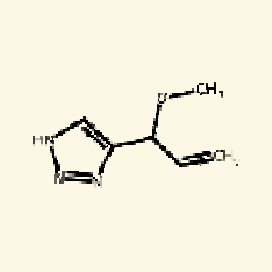 C=CC(OC)c1c[nH]nn1